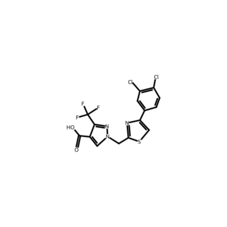 O=C(O)c1cn(Cc2nc(-c3ccc(Cl)c(Cl)c3)cs2)nc1C(F)(F)F